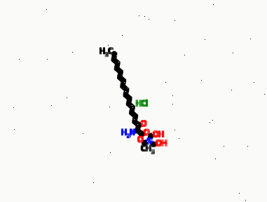 CCCCCCCCCCCCCCCCCC(=O)C(N)C(=O)OC(C)N(CO)CO.Cl